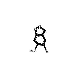 COc1cc2sncc2cc1Br